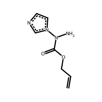 C=CCOC(=O)N(N)n1ccnc1